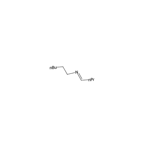 CCCC=NCCCCCC